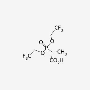 CC(C(=O)O)P(=O)(OCC(F)(F)F)OCC(F)(F)F